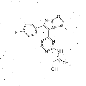 C[C@@H](CO)Nc1nccc(-c2c(-c3ccc(F)cc3)nc3occn23)n1